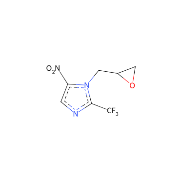 O=[N+]([O-])c1cnc(C(F)(F)F)n1CC1CO1